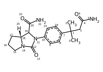 CC(C)(CC(N)=O)c1ccc(N2C(=O)N3CC[CH][C@@H]3C2C(N)=O)cc1